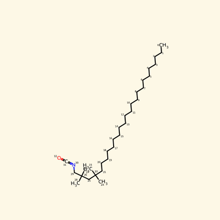 CCCCCCCCCCCCCCCCCCCCCCC(C)(C)CC(C)(C)CN=C=O